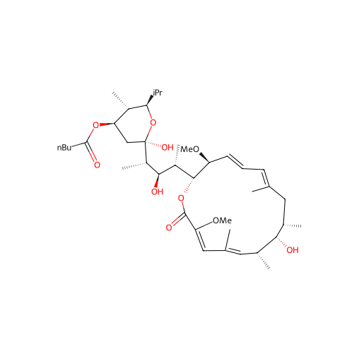 CCCCC(=O)O[C@@H]1C[C@](O)([C@@H](C)[C@H](O)[C@H](C)[C@H]2OC(=O)/C(OC)=C/C(C)=C/[C@@H](C)[C@@H](O)[C@@H](C)C/C(C)=C/C=C/[C@@H]2OC)O[C@H](C(C)C)[C@H]1C